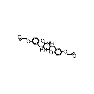 O=C1N[C@H](Cc2cccc(OCC3CO3)c2)C(=O)N[C@H]1Cc1cccc(OCC2CO2)c1